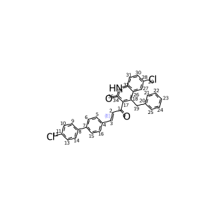 O=C(/C=C/c1ccc(-c2ccc(Cl)cc2)cc1)c1c(Cc2ccccc2)c2cc(Cl)ccc2[nH]c1=O